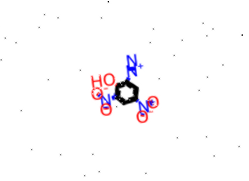 N#[N+]c1cc([N+](=O)[O-])cc([N+](=O)[O-])c1O